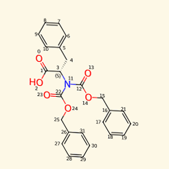 O=C(O)[C@H](Cc1ccccc1)N(C(=O)OCc1ccccc1)C(=O)OCc1ccccc1